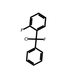 Fc1ccccc1C(F)(Cl)c1ccccc1